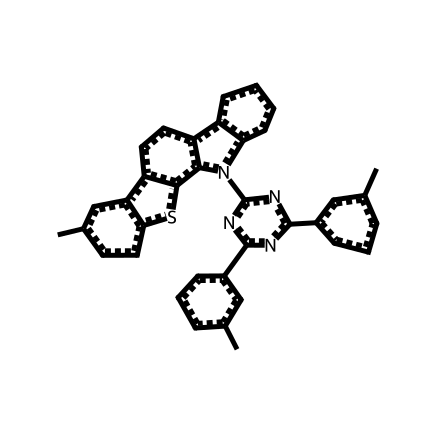 Cc1cccc(-c2nc(-c3cccc(C)c3)nc(-n3c4ccccc4c4ccc5c6cc(C)ccc6sc5c43)n2)c1